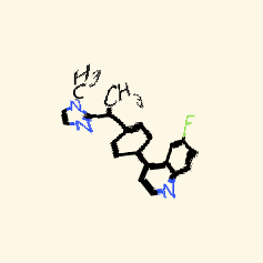 CC(c1nccn1C)C1CCC(c2ccnc3ccc(F)cc23)CC1